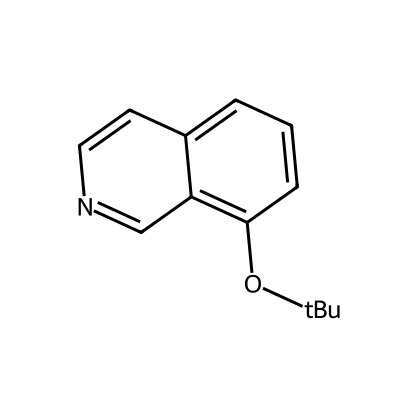 CC(C)(C)Oc1cccc2ccncc12